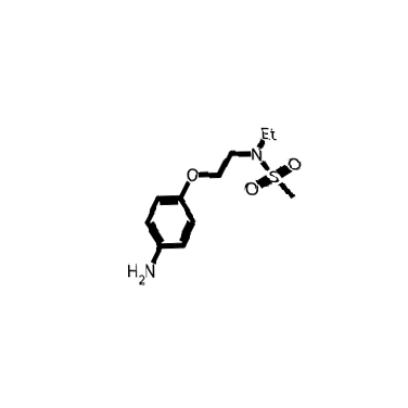 CCN(CCOc1ccc(N)cc1)S(C)(=O)=O